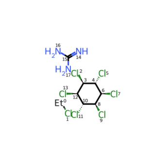 CCCl.Cl[C@H]1[C@H](Cl)[C@@H](Cl)[C@@H](Cl)[C@H](Cl)[C@H]1Cl.N=C(N)N